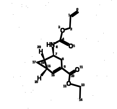 C=CCOC(=O)N[C@H]1CC(C(=O)OCC)=C[C@@H]2C[C@@H]21